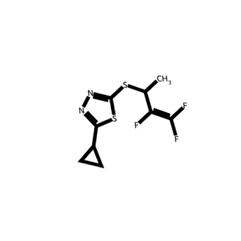 CC(Sc1nnc(C2CC2)s1)C(F)=C(F)F